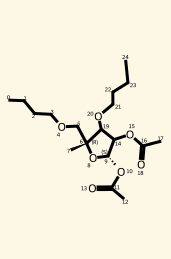 CCCCOC[C@@]1(C)O[C@@H](OC(C)=O)C(OC(C)=O)C1OCCCC